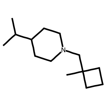 CC(C)C1CCN(CC2(C)CCC2)CC1